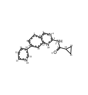 O=C(Nc1ncc2ccc(-c3cccnc3)cc2n1)C1CC1